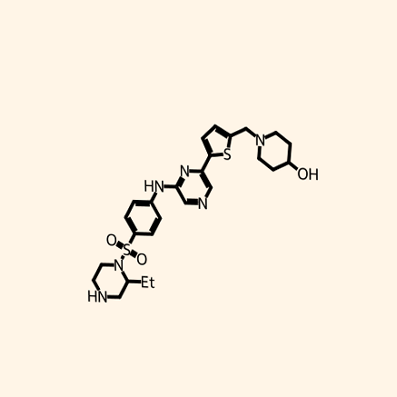 CCC1CNCCN1S(=O)(=O)c1ccc(Nc2cncc(-c3ccc(CN4CCC(O)CC4)s3)n2)cc1